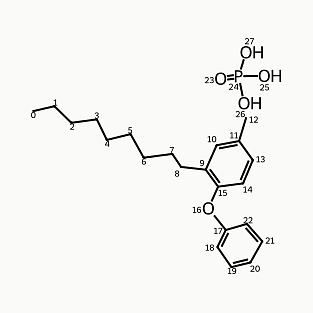 CCCCCCCCCc1cc(C)ccc1Oc1ccccc1.O=P(O)(O)O